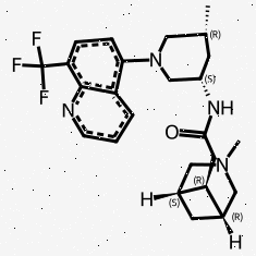 C[C@@H]1C[C@H](NC(=O)C[C@@H]2[C@@H]3C[C@H]2CN(C)C3)CN(c2ccc(C(F)(F)F)c3ncccc23)C1